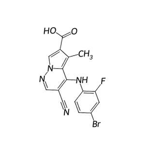 Cc1c(C(=O)O)cn2ncc(C#N)c(Nc3ccc(Br)cc3F)c12